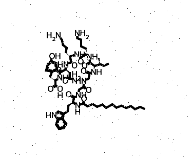 CCCCCCCCCCCCCC(=O)N[C@@H](CCc1c[nH]c2ccccc12)C(=O)NCC(=O)NCC(=O)N[C@H](C(=O)N[C@@H](CCCCN)C(=O)N[C@@H](CCCCN)C(=O)N[C@@H](CC(N)=O)C(=O)N[C@@H](Cc1ccc(O)cc1)C(=O)O)[C@@H](C)CC